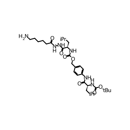 CC(C)C[C@H](NC(=O)OC(C)(C)C)C(=O)Nc1ccc(COC(=O)N[C@H](CC(C)C)C(=O)NNC(=O)CCCCCN)cc1